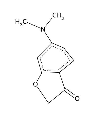 CN(C)c1ccc2c(c1)OCC2=O